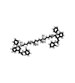 C=C(C=C1C=C(NCCCCCNC(=N)CCCC(=N)NCCCCCNC2=CC(=CC(=C)Sc3ccccc3C)c3ccccc3N2c2ccccc2)N(c2ccccc2)c2ccccc21)Sc1ccccc1C